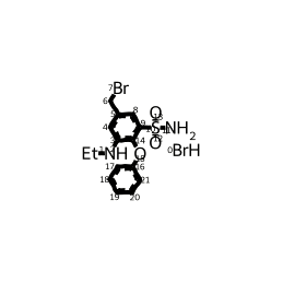 Br.CCNc1cc(CBr)cc(S(N)(=O)=O)c1Oc1ccccc1